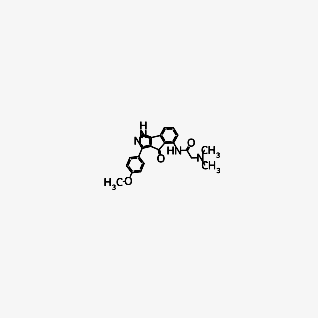 COc1ccc(-c2n[nH]c3c2C(=O)c2c(NC(=O)CN(C)C)cccc2-3)cc1